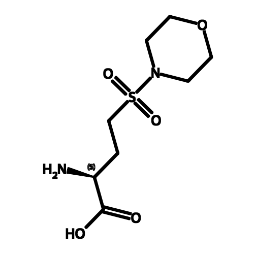 N[C@@H](CCS(=O)(=O)N1CCOCC1)C(=O)O